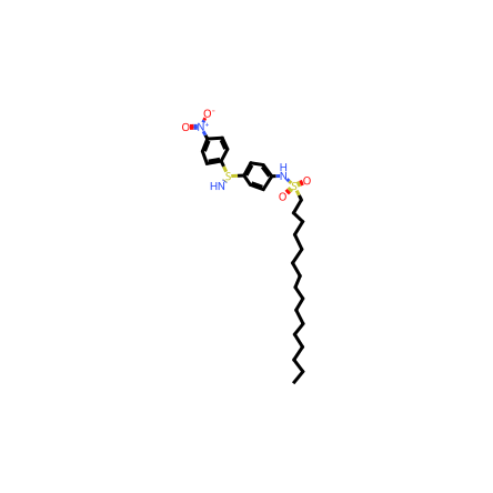 CCCCCCCCCCCCCCCCS(=O)(=O)Nc1ccc(S(=N)c2ccc([N+](=O)[O-])cc2)cc1